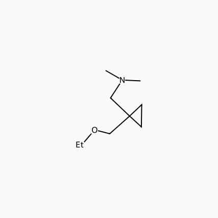 CCOCC1(CN(C)C)CC1